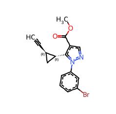 C#C[C@@H]1C[C@H]1c1c(C(=O)OC)cnn1-c1cccc(Br)c1